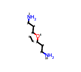 CC.NCCCOCCCN